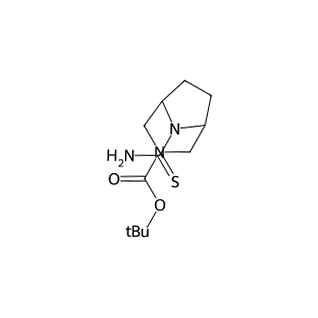 CC(C)(C)OC(=O)N1CC2CCC(C1)N2C(N)=S